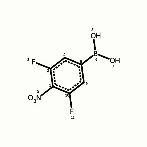 O=[N+]([O-])c1c(F)cc(B(O)O)cc1F